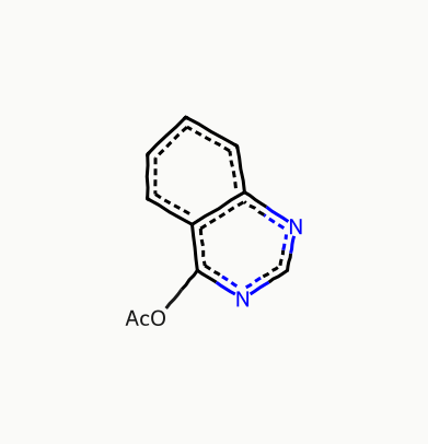 CC(=O)Oc1ncnc2ccccc12